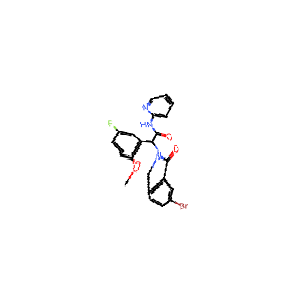 COc1ccc(F)cc1C(C(=O)Nc1ccccn1)N1Cc2ccc(Br)cc2C1=O